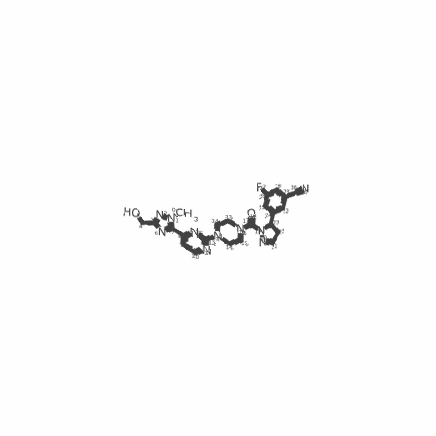 Cn1nc(CO)nc1-c1ccnc(N2CCN(C(=O)N3N=CCC3c3cc(F)cc(C#N)c3)CC2)n1